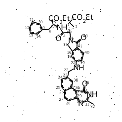 CCOC(=O)CC[C@@H](C(=O)N[C@@H](Cc1ccccc1)C(=O)OCC)N1Cc2cc(NCc3ccc4ccc5nc(C)[nH]c(=O)c5c4c3)ccc2C1=O